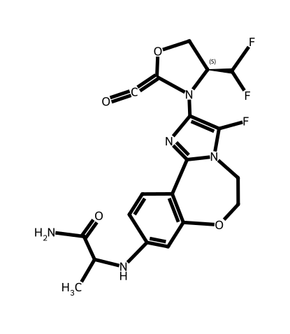 CC(Nc1ccc2c(c1)OCCn1c-2nc(N2C(=C=O)OC[C@H]2C(F)F)c1F)C(N)=O